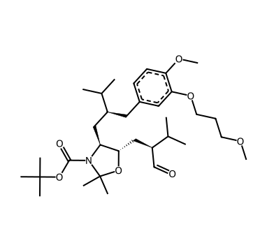 COCCCOc1cc(C[C@@H](C[C@H]2[C@H](C[C@H](C=O)C(C)C)OC(C)(C)N2C(=O)OC(C)(C)C)C(C)C)ccc1OC